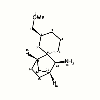 COC[C@H]1CCC[C@@]2(C1)[C@H]1CC[C@H](C1)[C@@H]2N